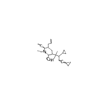 C=C=C1C(CC=C)CC(C(C)(C)C(C=C=C2CC2)C2CC2)C(O)N1CC